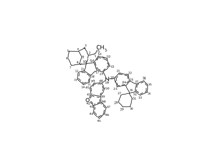 CCC1CC2CCCC(C2)C12c1ccccc1-c1c(N(c3ccc4c(c3)C3(CCCCC3)c3ccccc3-4)c3ccc4oc5ccccc5c4c3)cccc12